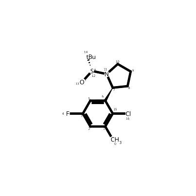 Cc1cc(F)cc([C@@H]2CCCN2[S@+]([O-])C(C)(C)C)c1Cl